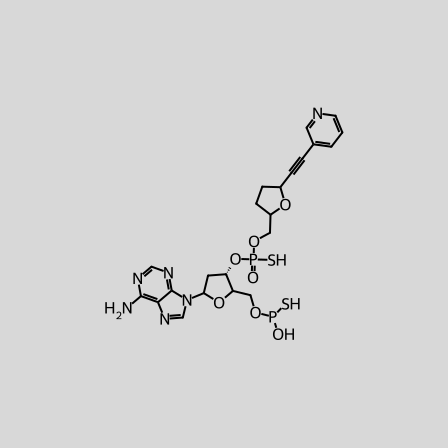 Nc1ncnc2c1ncn2C1C[C@H](OP(=O)(S)OCC2CCC(C#Cc3cccnc3)O2)C(COP(O)S)O1